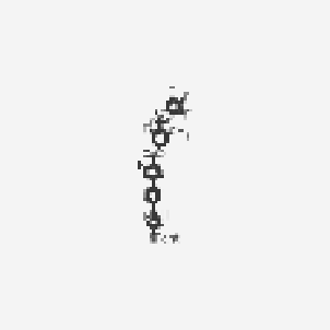 CCCCCC1=C[C@@H]2C(c3ccc(-c4ccc(C(=O)O[C@H]5C=C(C)C(C(F)(F)Oc6cc(F)c(F)c(F)c6)=C(F)C5)c(F)c4)cc3)N2C1